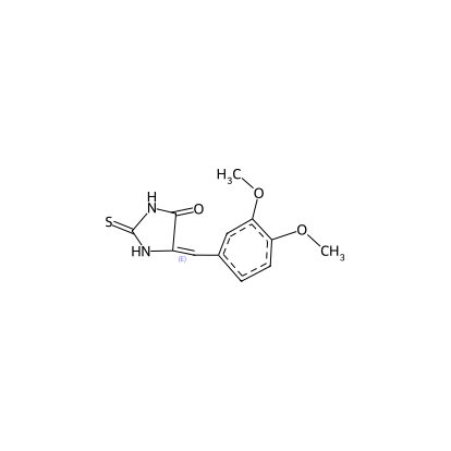 COc1ccc(/C=C2/NC(=S)NC2=O)cc1OC